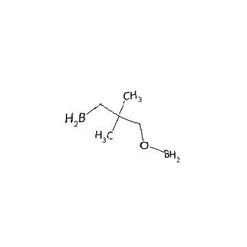 BCC(C)(C)COB